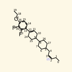 CC/C=C\CC1CCC(C2CC=C(c3ccc(OCC)c(F)c3F)CC2)CC1